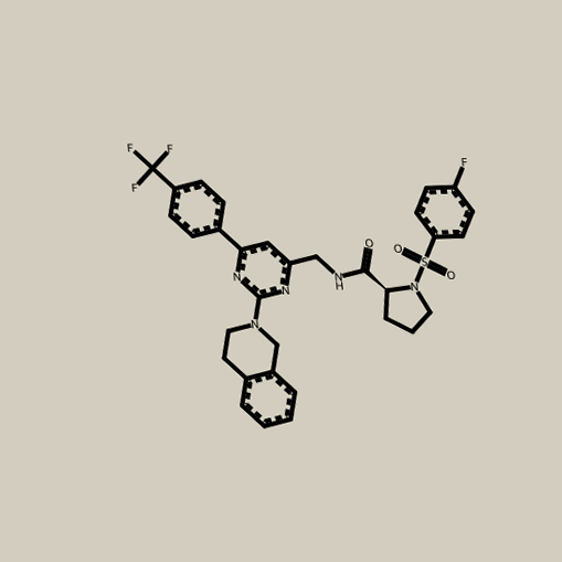 O=C(NCc1cc(-c2ccc(C(F)(F)F)cc2)nc(N2CCc3ccccc3C2)n1)[C@@H]1CCCN1S(=O)(=O)c1ccc(F)cc1